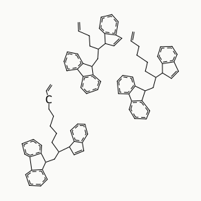 C=CCCC(CC1c2ccccc2-c2ccccc21)C1C=Cc2ccccc21.C=CCCCCC(CC1c2ccccc2-c2ccccc21)C1C=Cc2ccccc21.C=CCCCCCCC(CC1c2ccccc2-c2ccccc21)C1C=Cc2ccccc21